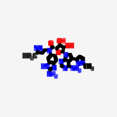 Cn1ccc(-c2cn([C@@H]3O[C@H](C(=O)N(CC[C@H](N)C(=O)O)c4ccc5nc(N)[nH]c5c4)[C@@H](O)[C@H]3O)c3ncnc(N)c23)n1